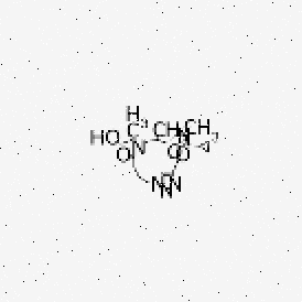 C[C@@H]1CN([C@H](C)CO)C(=O)CCCn2cc(nn2)CO[C@H]1CN(C)C(=O)C1CC1